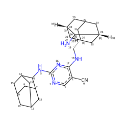 N#Cc1cnc(NC2C3CC4CC(C3)CC2C4)nc1NC[C@]12CC3C[C@H](C1)[C@@H](N)[C@@H](C3)C2